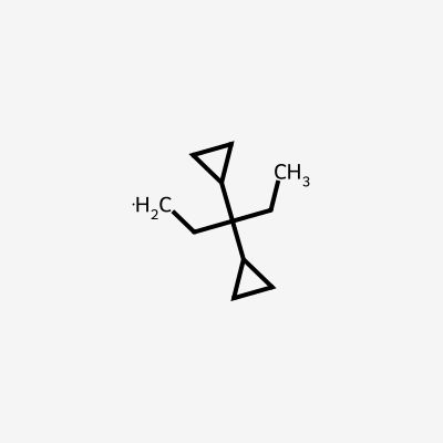 [CH2]CC(CC)(C1CC1)C1CC1